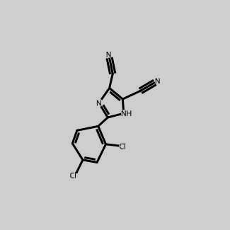 N#Cc1nc(-c2ccc(Cl)cc2Cl)[nH]c1C#N